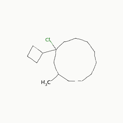 CC1CCCCCCCCC(Cl)(C2CCC2)C1